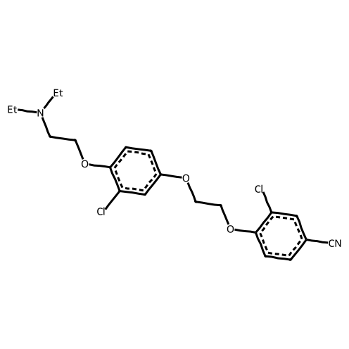 CCN(CC)CCOc1ccc(OCCOc2ccc(C#N)cc2Cl)cc1Cl